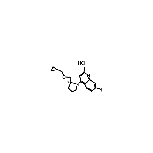 Cc1cc(N2CCC[C@H]2COCC2CC2)c2ccc(I)cc2n1.Cl